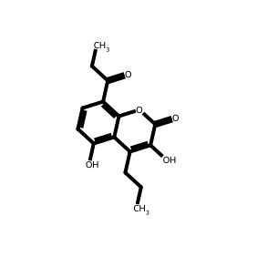 CCCc1c(O)c(=O)oc2c(C(=O)CC)ccc(O)c12